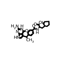 CC(c1ccc(C(=O)NC(CC2CCCCC2)C(=O)O)cc1)c1c[nH]c2nc(N)[nH]c(=O)c12